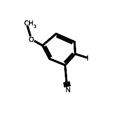 COc1ccc(I)c(C#N)c1